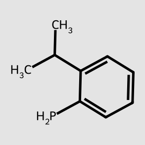 CC(C)c1ccccc1P